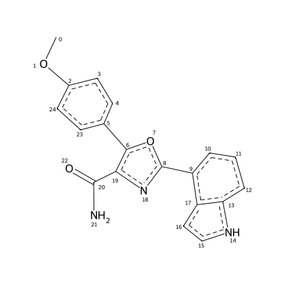 COc1ccc(-c2oc(-c3cccc4[nH]ccc34)nc2C(N)=O)cc1